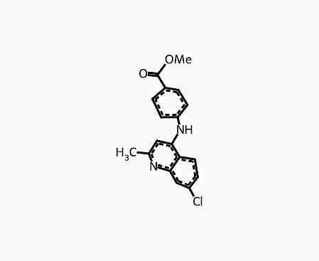 COC(=O)c1ccc(Nc2cc(C)nc3cc(Cl)ccc23)cc1